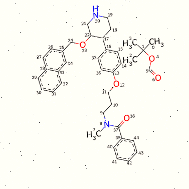 CC(C)(C)OC=O.CN(CCCOc1ccc(C2CCNCC2OCc2ccc3ccccc3c2)cc1)C(=O)c1ccccc1